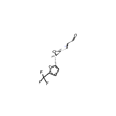 O=C/C=C/[C@H]1O[C@H]1c1ccc(C(F)(F)F)o1